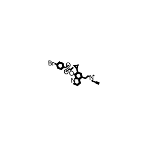 C#CCN(C)CCc1cc(C2CC2)c(OC(C)S(=O)(=O)c2ccc(Br)cc2)c2ncccc12